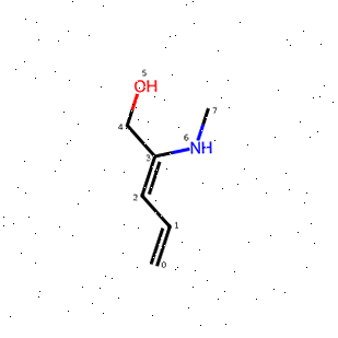 C=C/C=C(/CO)NC